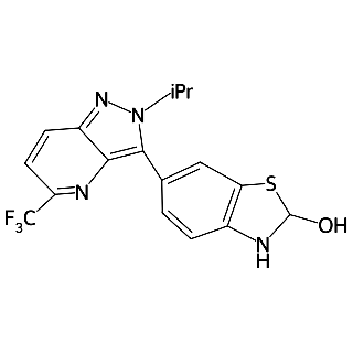 CC(C)n1nc2ccc(C(F)(F)F)nc2c1-c1ccc2c(c1)SC(O)N2